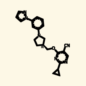 N#Cc1cnc(C2CC2)nc1OC[C@H]1CCN(c2cccc(-n3cccn3)c2)C1